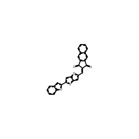 O=C1C(=Cc2cc3sc(-c4cc5ccccc5o4)cc3o2)C(=O)c2cc3ccccc3cc21